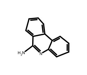 Nc1nc2ccccc2c2ccccc12